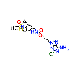 C#C[SH](=O)(C1CC1)n1ccc2cc(CNC(=O)OCCCCn3cnc4c(N)nc(Cl)nc43)ccc21